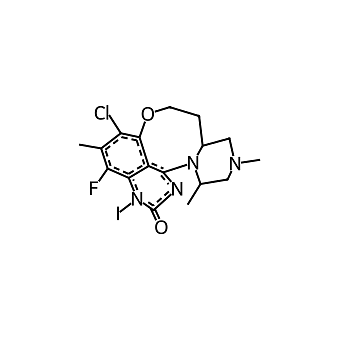 Cc1c(Cl)c2c3c(nc(=O)n(I)c3c1F)N1C(C)CN(C)CC1CCO2